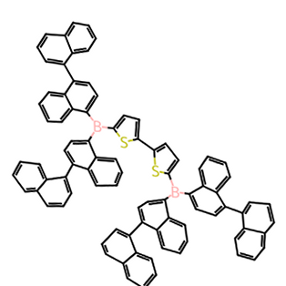 c1ccc2c(-c3ccc(B(c4ccc(-c5ccc(B(c6ccc(-c7cccc8ccccc78)c7ccccc67)c6ccc(-c7cccc8ccccc78)c7ccccc67)s5)s4)c4ccc(-c5cccc6ccccc56)c5ccccc45)c4ccccc34)cccc2c1